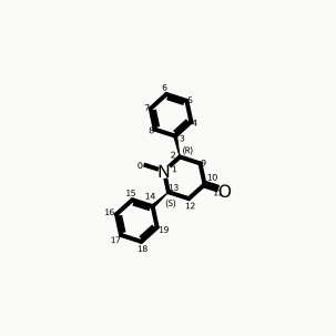 CN1[C@@H](c2ccccc2)CC(=O)C[C@H]1c1ccccc1